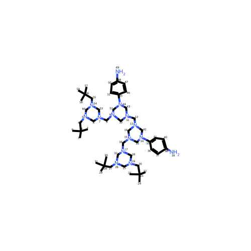 CC(C)(C)CN1CN(CN2CN(CN3CN(CN4CN(CC(C)(C)C)CN(CC(C)(C)C)C4)CN(c4ccc(N)cc4)C3)CN(c3ccc(N)cc3)C2)CN(CC(C)(C)C)C1